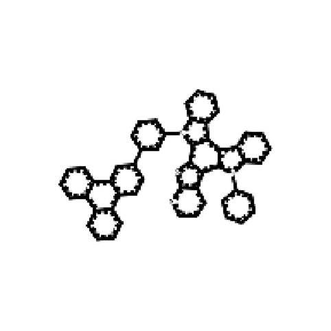 c1ccc(-n2c3ccccc3c3c4c5ccccc5n(-c5cccc(-c6ccc7c8ccccc8c8ccccc8c7c6)c5)c4c4sc5ncccc5c4c32)cc1